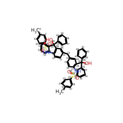 Cc1ccc(S(=O)(=O)Nc2ccc(Cc3ccc(NS(=O)(=O)c4ccc(C)cc4)c(C(O)(c4ccccc4)c4ccccc4)c3)cc2C(O)(c2ccccc2)c2ccccc2)cc1